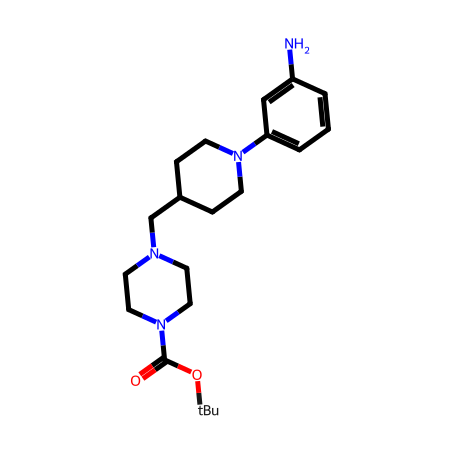 CC(C)(C)OC(=O)N1CCN(CC2CCN(c3cccc(N)c3)CC2)CC1